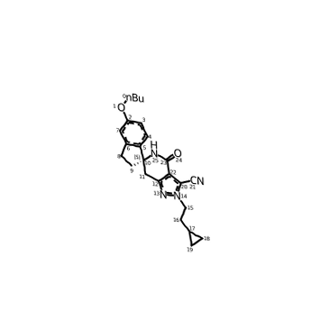 CCCCOc1ccc2c(c1)CC[C@]21Cc2nn(CCC3CC3)c(C#N)c2C(=O)N1